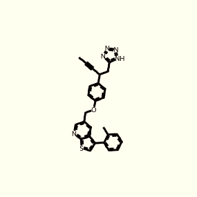 CC#CC(Cc1nnn[nH]1)c1ccc(OCc2cnc3scc(-c4ccccc4C)c3c2)cc1